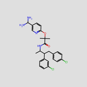 CC(NC(=O)C(C)(C)Oc1ccc(C(N)N)cn1)C(Cc1ccc(Cl)cc1)c1cccc(Cl)c1